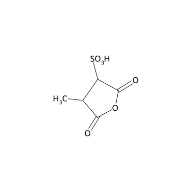 CC1C(=O)OC(=O)C1S(=O)(=O)O